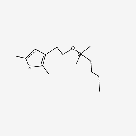 CCCC[Si](C)(C)OCCc1cc(C)sc1C